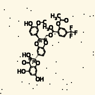 COc1cc([C@@H]2Oc3cc([C@@H]4Oc5cc(O)cc(O)c5C(=O)[C@H]4O)ccc3O[C@H]2COC(=O)c2ccc(C(F)(F)F)cc2OC(C)=O)ccc1O